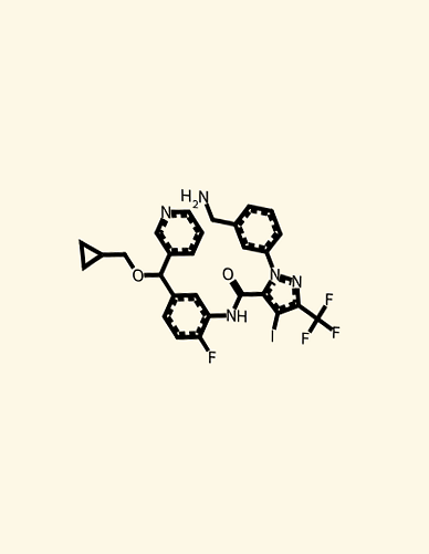 NCc1cccc(-n2nc(C(F)(F)F)c(I)c2C(=O)Nc2cc(C(OCC3CC3)c3cccnc3)ccc2F)c1